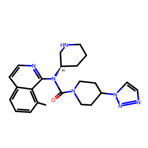 Cc1cccc2ccnc(N(C(=O)N3CCC(n4ccnn4)CC3)[C@@H]3CCCNC3)c12